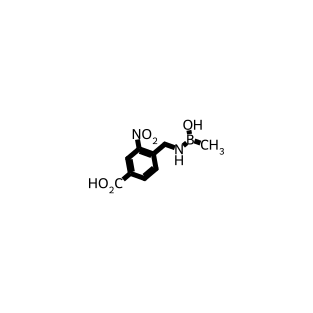 CB(O)NCc1ccc(C(=O)O)cc1[N+](=O)[O-]